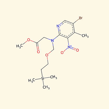 COC(=O)CN(COCC[Si](C)(C)C)c1ncc(Br)c(C)c1[N+](=O)[O-]